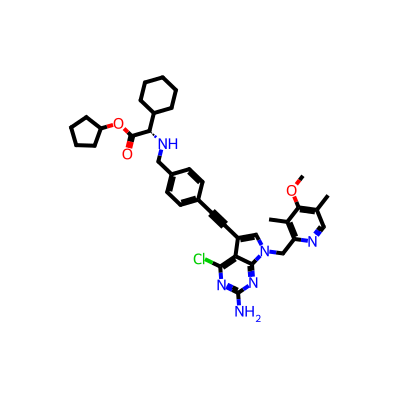 COc1c(C)cnc(Cn2cc(C#Cc3ccc(CN[C@H](C(=O)OC4CCCC4)C4CCCCC4)cc3)c3c(Cl)nc(N)nc32)c1C